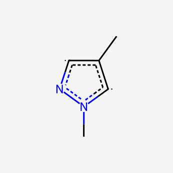 Cc1[c]nn(C)[c]1